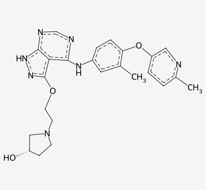 Cc1ccc(Oc2ccc(Nc3ncnc4[nH]nc(OCCN5CC[C@H](O)C5)c34)cc2C)cn1